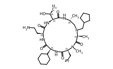 CC(C)C[C@H]1C(=O)N[C@@H](C2CCCCC2)C(=O)N[C@@H](CCN)C(=O)N[C@@H]([C@H](C)O)C(=O)N[C@H](C)CN(CC2CCCC2)[C@@H](C)C(=O)N1C